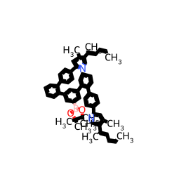 C/C=C\C=C(/C)c1cnc(-c2ccc(-c3ccccc3-c3cc(B4OC(C)(C)C(C)(C)O4)cc(-c4ccccc4-c4ccc(-c5cc(C)c(/C(C)=C/C=C\C)cn5)cc4)c3)cc2)cc1C